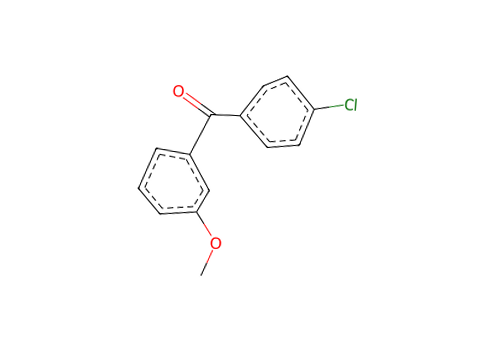 COc1cccc(C(=O)c2ccc(Cl)cc2)c1